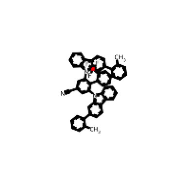 Cc1ccccc1-c1ccc2c3ccccc3n(-c3cc(C#N)cc(-n4c5ccccc5c5ccc(-c6ccccc6C)cc54)c3-c3ccccc3C(F)(F)F)c2c1